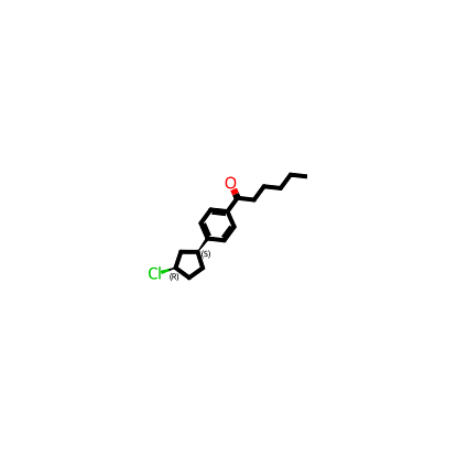 CCCCCC(=O)c1ccc([C@H]2CC[C@@H](Cl)C2)cc1